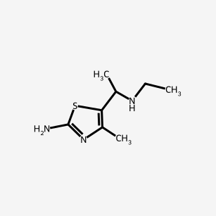 CCNC(C)c1sc(N)nc1C